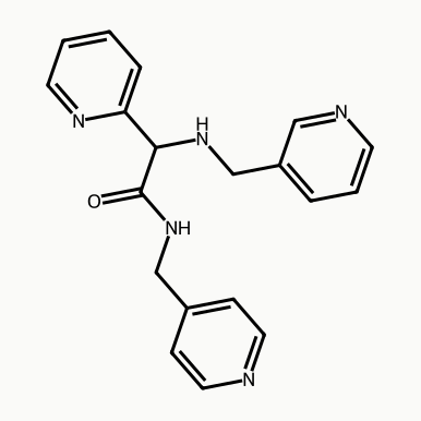 O=C(NCc1ccncc1)C(NCc1cccnc1)c1ccccn1